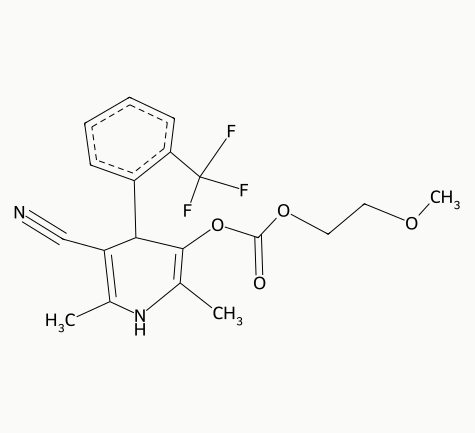 COCCOC(=O)OC1=C(C)NC(C)=C(C#N)C1c1ccccc1C(F)(F)F